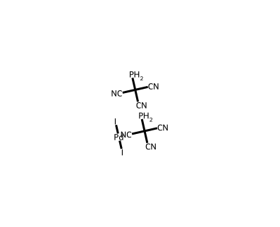 N#CC(P)(C#N)C#N.N#CC(P)(C#N)C#N.[I][Pd][I]